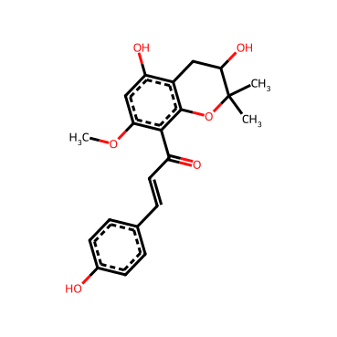 COc1cc(O)c2c(c1C(=O)/C=C/c1ccc(O)cc1)OC(C)(C)C(O)C2